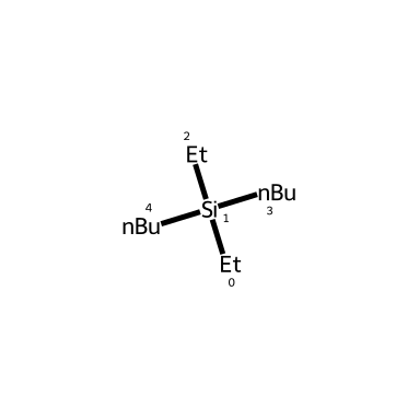 [CH2]C[Si](CC)(CCCC)CCCC